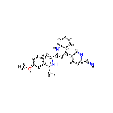 COc1cccc([C@@H](C)NC(C)c2cc(-c3ccc(C#N)nc3)c3ccccc3n2)c1